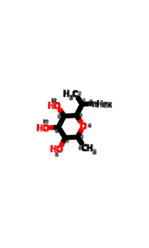 CCCCCCC(C)C1OC(C)C(O)C(O)C1O